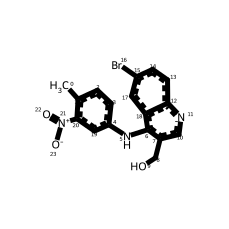 Cc1ccc(Nc2c(CO)cnc3ccc(Br)cc23)cc1[N+](=O)[O-]